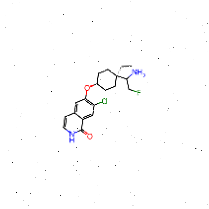 CC[C@]1(C(N)CF)CC[C@@H](Oc2cc3cc[nH]c(=O)c3cc2Cl)CC1